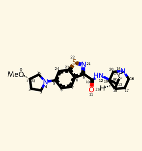 CO[C@H]1CCN(c2ccc3c(C(=O)N[C@H]4CN5CCC4CC5)nsc3c2)C1